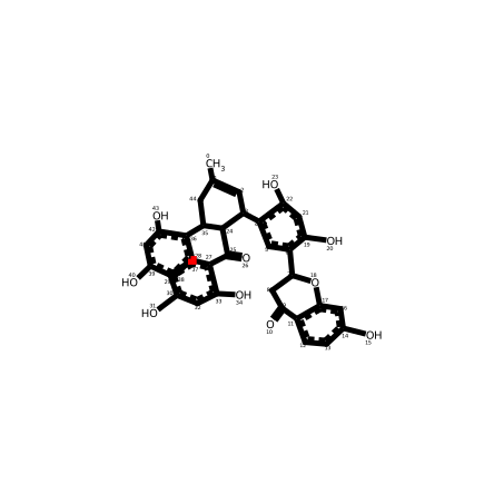 CC1=CC(c2cc(C3CC(=O)c4ccc(O)cc4O3)c(O)cc2O)C(C(=O)c2ccc(O)cc2O)C(c2ccc(O)cc2O)C1